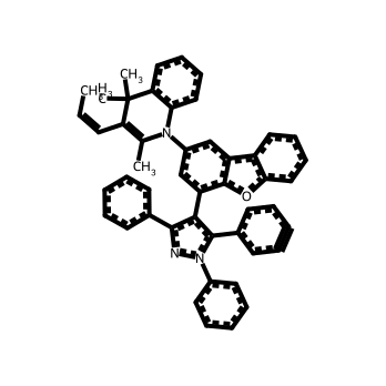 C/C=C\C1=C(C)N(c2cc(-c3c(-c4ccccc4)nn(-c4ccccc4)c3-c3cc#ccc3)c3oc4ccccc4c3c2)c2ccccc2C1(C)C